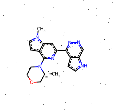 C[C@@H]1COCCN1c1nc(-c2nncc3[nH]ccc23)cc2c1ccn2C